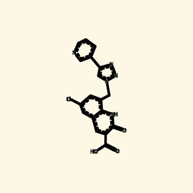 O=C(O)c1cc2cc(Cl)cc(Cn3cc(-c4cccnc4)nn3)c2[nH]c1=O